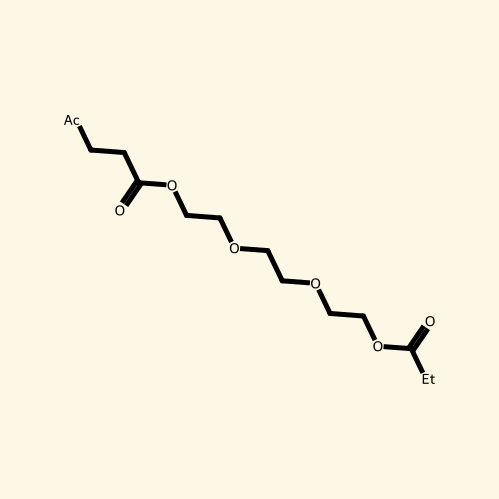 CCC(=O)OCCOCCOCCOC(=O)CCC(C)=O